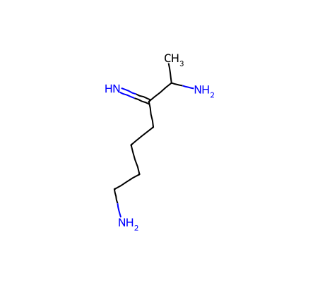 CC(N)C(=N)CCCCN